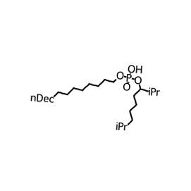 CCCCCCCCCCCCCCCCCCOP(=O)(O)OC(CCCCC(C)C)C(C)C